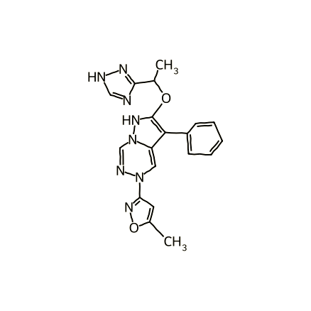 Cc1cc(N2C=C3C(c4ccccc4)=C(OC(C)c4nc[nH]n4)NN3C=N2)no1